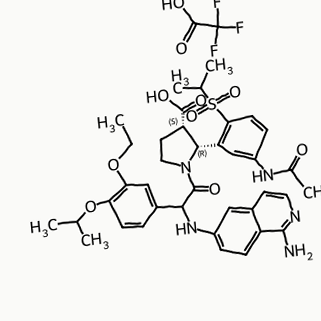 CCOc1cc(C(Nc2ccc3c(N)nccc3c2)C(=O)N2CC[C@H](C(=O)O)[C@@H]2c2cc(NC(C)=O)ccc2S(=O)(=O)C(C)C)ccc1OC(C)C.O=C(O)C(F)(F)F